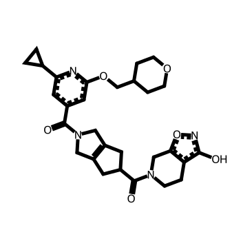 O=C(c1cc(OCC2CCOCC2)nc(C2CC2)c1)N1CC2=C(CC(C(=O)N3CCc4c(O)noc4C3)C2)C1